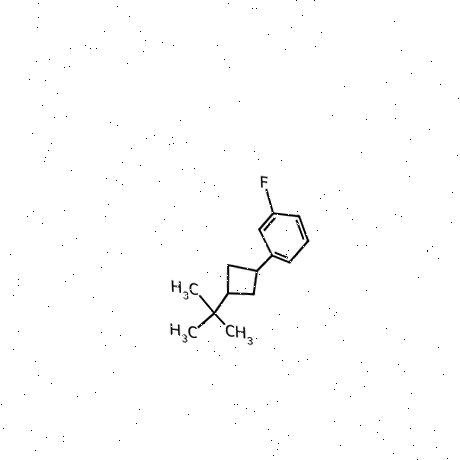 CC(C)(C)C1CC(c2cccc(F)c2)C1